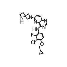 Fc1c(Nc2ncnc3ccc(N4CC5(CCN5)C4)nc23)ccc(OCC2CC2)c1Cl